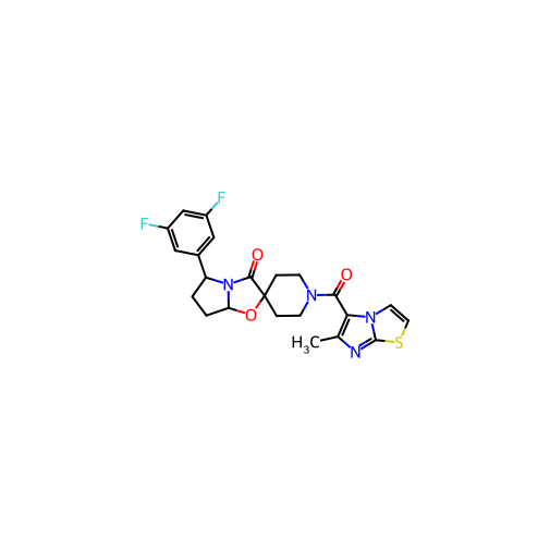 Cc1nc2sccn2c1C(=O)N1CCC2(CC1)OC1CCC(c3cc(F)cc(F)c3)N1C2=O